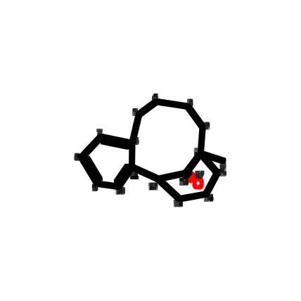 CC12CCCCc3ccccc3C(CCC1)C2=O